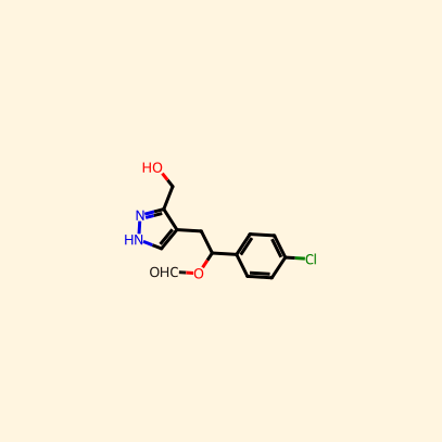 O=COC(Cc1c[nH]nc1CO)c1ccc(Cl)cc1